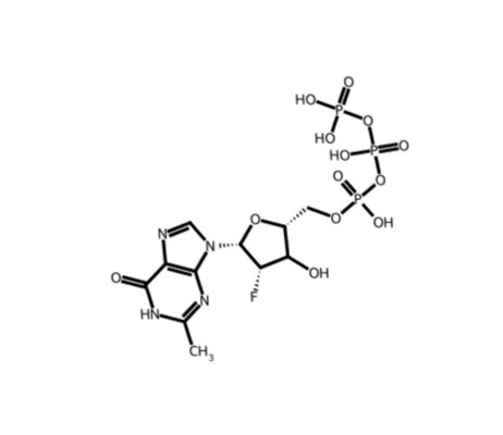 Cc1nc2c(ncn2[C@@H]2O[C@H](COP(=O)(O)OP(=O)(O)OP(=O)(O)O)C(O)[C@@H]2F)c(=O)[nH]1